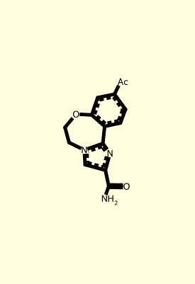 CC(=O)c1ccc2c(c1)OCCn1cc(C(N)=O)nc1-2